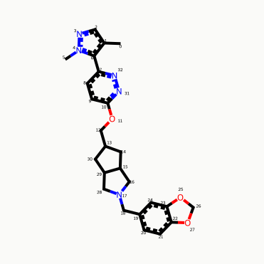 Cc1cnn(C)c1-c1ccc(OCC2CC3CN(Cc4ccc5c(c4)OCO5)CC3C2)nn1